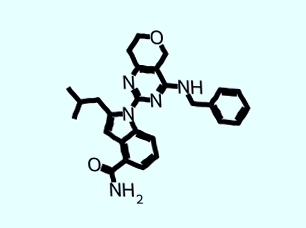 CC(C)Cc1cc2c(C(N)=O)cccc2n1-c1nc2c(c(NCc3ccccc3)n1)COCC2